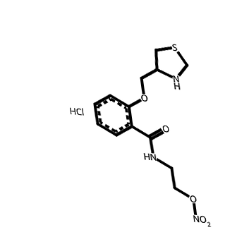 Cl.O=C(NCCO[N+](=O)[O-])c1ccccc1OCC1CSCN1